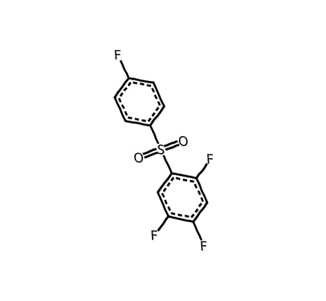 O=S(=O)(c1ccc(F)cc1)c1cc(F)c(F)cc1F